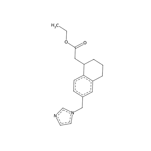 CCOC(=O)CC1CCCc2cc(Cn3ccnc3)ccc21